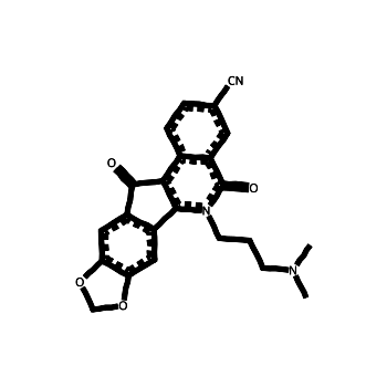 CN(C)CCCn1c2c(c3ccc(C#N)cc3c1=O)C(=O)c1cc3c(cc1-2)OCO3